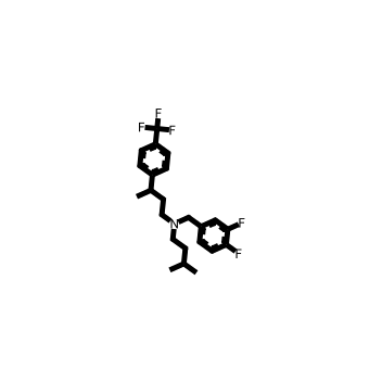 CC(C)CCN(CCC(C)c1ccc(C(F)(F)F)cc1)Cc1ccc(F)c(F)c1